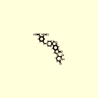 CCNc1cc(CN2CCC3(CC2)COc2cc4c(cc23)CN(C2CCC(=O)NC2=O)C4=O)ccc1C=N